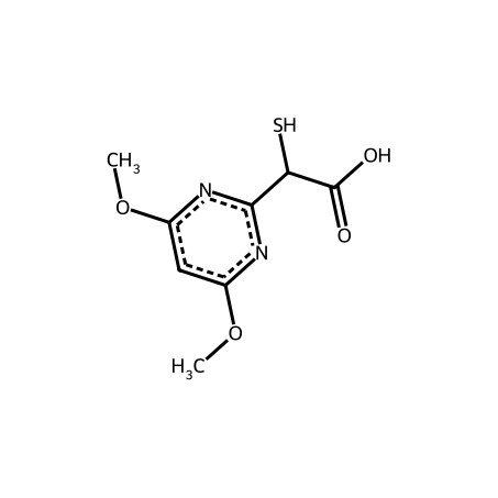 COc1cc(OC)nc(C(S)C(=O)O)n1